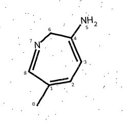 CC1=CC=C(N)CN=C1